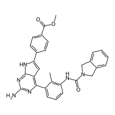 COC(=O)c1ccc(-c2cc3c(-c4cccc(NC(=O)N5Cc6ccccc6C5)c4C)nc(N)nc3[nH]2)cc1